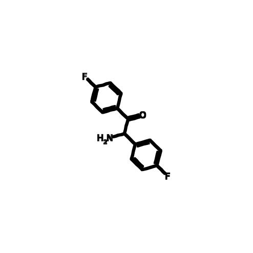 NC(C(=O)c1ccc(F)cc1)c1ccc(F)cc1